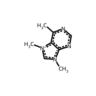 Cc1ncnc2c1[n+](C)cn2C